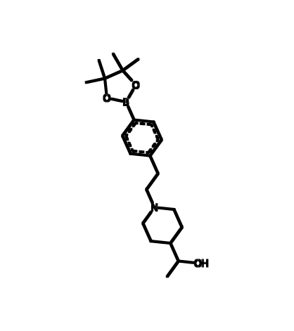 CC(O)C1CCN(CCc2ccc(B3OC(C)(C)C(C)(C)O3)cc2)CC1